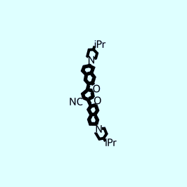 CC(C)C1CCN(c2ccc3cc4c(cc3c2)oc2c4cc(C#N)c3c4cc5ccc(N6CCC(C(C)C)CC6)cc5cc4oc23)CC1